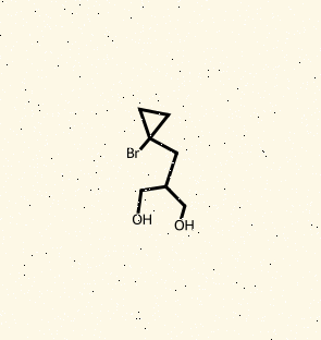 OCC(CO)CC1(Br)CC1